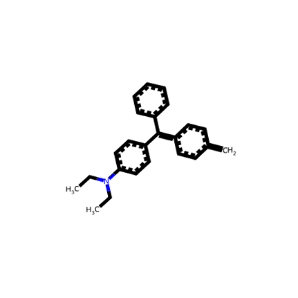 C=c1ccc(=C(c2ccccc2)c2ccc(N(CC)CC)cc2)cc1